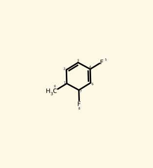 CC1C=CC(F)=CC1F